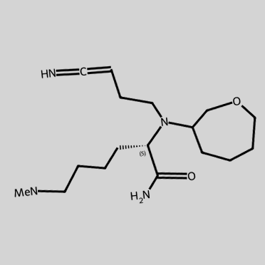 CNCCCC[C@@H](C(N)=O)N(CCC=C=N)C1CCCCOC1